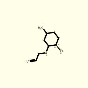 C=CCOC1CC(C)CC[C@H]1C(C)C